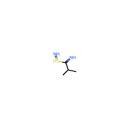 CC(C)C(=N)[SH]=N